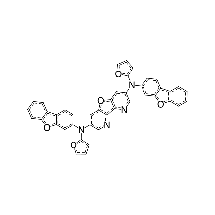 c1coc(N(c2ccc3c(c2)oc2ccccc23)c2cnc3c(c2)oc2cc(N(c4ccc5c(c4)oc4ccccc45)c4ccco4)cnc23)c1